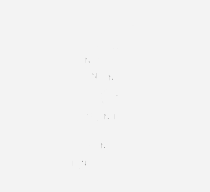 NCc1ccc(C(=O)Nc2ccc(Nc3cc(-c4cccc5c4oc4ccccc45)ncn3)cc2)cn1